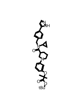 CC(C)(C)OC(=O)C(C)(C)Oc1cccc(N2CCCC(C(=O)N(Cc3ccc(-c4ccn[nH]4)cc3)C3CC3)C2)c1